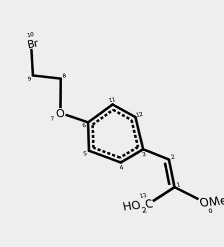 COC(=Cc1ccc(OCCBr)cc1)C(=O)O